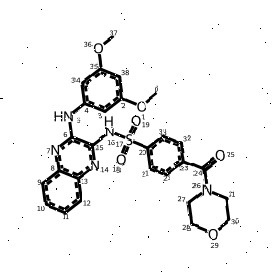 COc1cc(Nc2nc3ccccc3nc2NS(=O)(=O)c2ccc(C(=O)N3CCOCC3)cc2)cc(OC)c1